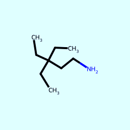 CCC(CC)(CC)CCN